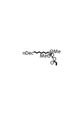 C=CC(=O)OCO[Si](CCCCCCCCCCCCCCCCC)(OC)OC